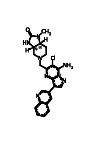 CN1C(=O)N[C@H]2CN(Cc3nc4c(-c5cnc6ccccc6c5)cnn4c(N)c3Cl)CC[C@H]21